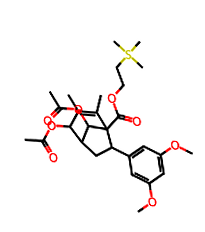 COc1cc(OC)cc(C2CC3C(OC(C)=O)C(C)=C(C)C2(C(=O)OCCS(C)(C)C)C3OC(C)=O)c1